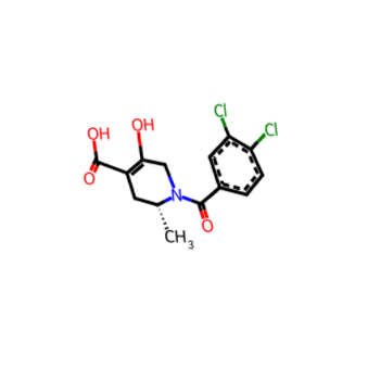 C[C@@H]1CC(C(=O)O)=C(O)CN1C(=O)c1ccc(Cl)c(Cl)c1